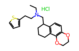 CCN(CCc1cccs1)CC1CCCc2c1ccc1c2OCCO1.Cl